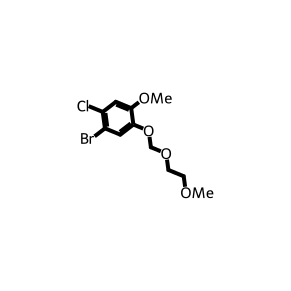 COCCOCOc1cc(Br)c(Cl)cc1OC